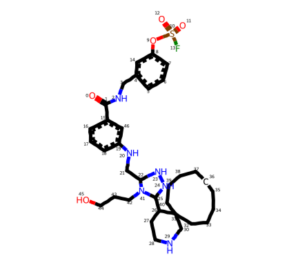 O=C(NCc1cccc(OS(=O)(=O)F)c1)c1cccc(NCC2NNC(C3CCNCC34CCCCCCCCC4)N2CCCO)c1